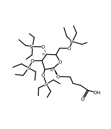 CC[Si](CC)(CC)OCC1O[C@@H](OCCCC(=O)O)C(O[Si](CC)(CC)CC)C(O[Si](CC)(CC)CC)[C@@H]1O[Si](CC)(CC)CC